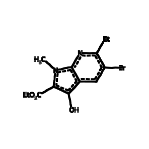 CCOC(=O)c1c(O)c2cc(Br)c(CC)nc2n1C